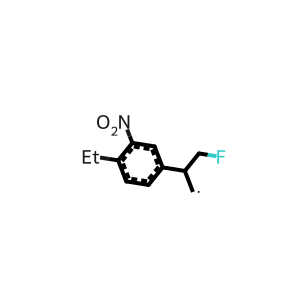 [CH2]C(CF)c1ccc(CC)c([N+](=O)[O-])c1